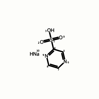 O=S(=O)(O)c1cnccn1.[NaH]